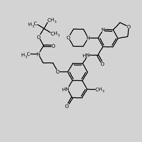 Cc1cc(=O)[nH]c2c(OCCN(C)C(=O)OC(C)(C)C)cc(NC(=O)c3cc4c(nc3N3CCOCC3)COC4)cc12